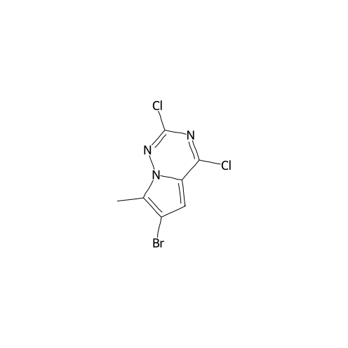 Cc1c(Br)cc2c(Cl)nc(Cl)nn12